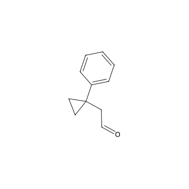 O=CCC1(c2ccccc2)CC1